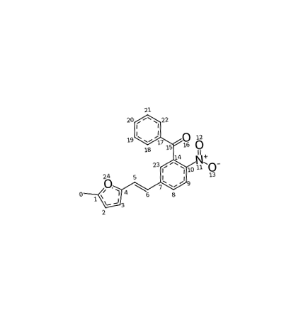 Cc1ccc(/C=C/c2ccc([N+](=O)[O-])c(C(=O)c3ccccc3)c2)o1